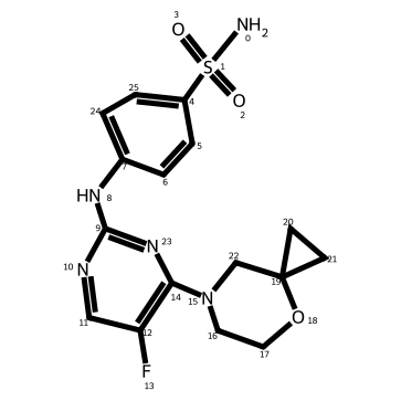 NS(=O)(=O)c1ccc(Nc2ncc(F)c(N3CCOC4(CC4)C3)n2)cc1